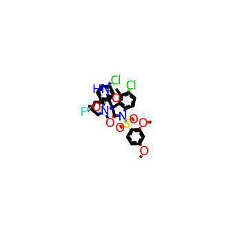 CNC(=O)[C@@H]1C[C@@H](F)C[N+]1(C)C1(c2cc(Cl)ccc2OC)C(=O)N(S(=O)(=O)c2ccc(OC)cc2OC)c2ccc(Cl)c(C)c21